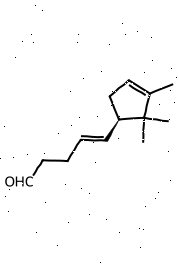 CC1=CC[C@H](C=CCCC=O)C1(C)C